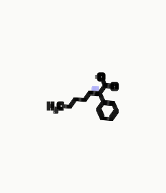 CCCC/C=C(/C([O])=O)c1ccccc1